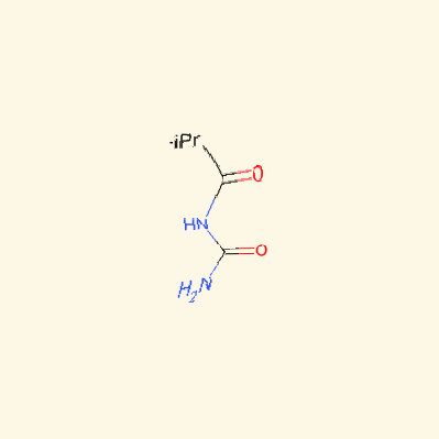 C[C](C)C(=O)NC(N)=O